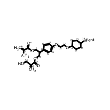 C=C(C)C(=O)OCC(COC(=O)C(=C)CO)c1ccc(OCCOC2CCC(CCCCC)CC2)cc1